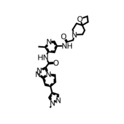 Cc1ncc(NC(=O)CN2CCC3(CCO3)CC2)cc1NC(=O)c1nnc2cc(-c3cnn(C)c3)ccn12